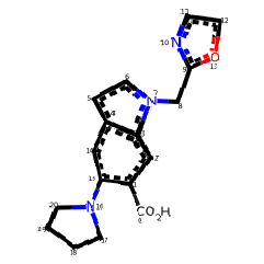 O=C(O)c1cc2c(ccn2Cc2ncco2)cc1N1CCCC1